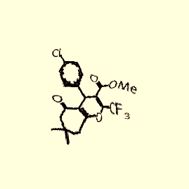 COC(=O)C1=C(C(F)(F)F)OC2=C(C(=O)CC(C)(C)C2)C1c1ccc(Cl)cc1